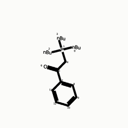 CCCC[P](CCCC)(CCCC)CC(=O)c1ccccc1